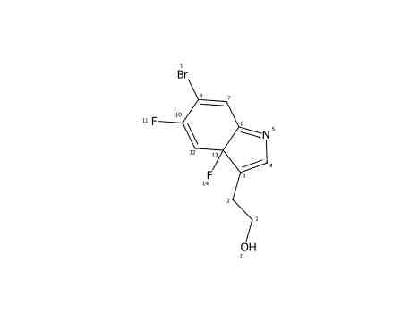 OCCC1=CN=C2C=C(Br)C(F)=CC12F